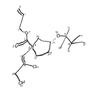 C=CCOC(=O)[N+]1(/C=C(\Cl)CO)CC[C@@H](O[Si](C)(C)C(C)(C)C)C1